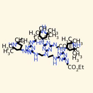 CCOC(=O)C=Nc1nc(NCCN(CCNc2nc(N=CC(=O)OCC)nc(NC3CC(C)(C)NC(C)(C)C3)n2)c2nc(N=CC(=O)OCC)nc(NC3CC(C)(C)NC(C)(C)C3)n2)nc(NC2CC(C)(C)NC(C)(C)C2)n1